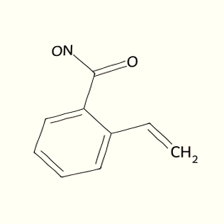 C=Cc1ccccc1C(=O)N=O